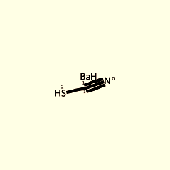 N#CS.[BaH2]